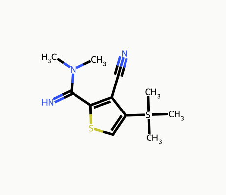 CN(C)C(=N)c1scc([Si](C)(C)C)c1C#N